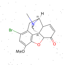 COc1cc(Br)c2c3c1OC1C(=O)C=CC4[C@H](C2)N(C)CC[C@@]314